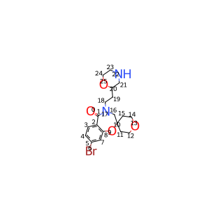 O=C1c2ccc(Br)cc2OC2(CCOCC2)CN1CCC1CNCCO1